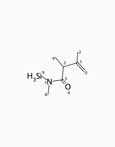 C=C(C)C(C)C(=O)N(C)[SiH3]